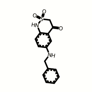 O=C1CS(=O)(=O)Nc2ccc(NCc3ccccc3)cc21